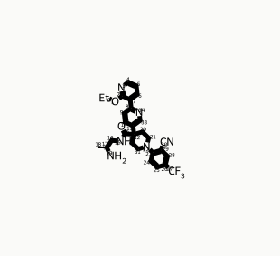 CCOc1ncccc1-c1ccc(C2(C(=O)NC[C@H](C)N)CCN(c3ccc(C(F)(F)F)cc3C#N)CC2)cn1